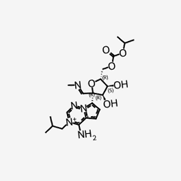 CN=C[C@@]1(c2ccc3c(N)[n+](CC(C)C)cnn23)O[C@H](COC(=O)OC(C)C)[C@@H](O)[C@H]1O